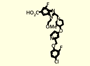 COCCn1c(CN2CCC(Oc3ccnc(COc4ccc(Cl)cc4F)c3)CC2)nc2c(F)cc(C(=O)O)cc21